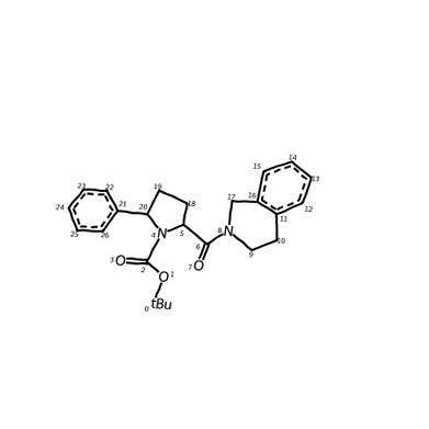 CC(C)(C)OC(=O)N1C(C(=O)N2CCc3ccccc3C2)CCC1c1ccccc1